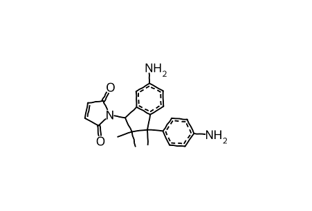 CC1(c2ccc(N)cc2)c2ccc(N)cc2C(N2C(=O)C=CC2=O)C1(C)C